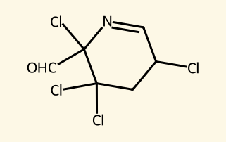 O=CC1(Cl)N=CC(Cl)CC1(Cl)Cl